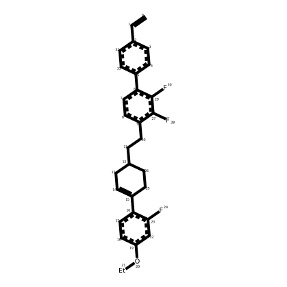 C=Cc1ccc(-c2ccc(CCC3CC=C(c4ccc(OCC)cc4F)CC3)c(F)c2F)cc1